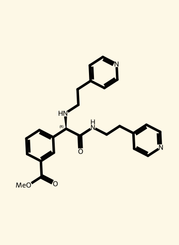 COC(=O)c1cccc([C@@H](NCCc2ccncc2)C(=O)NCCc2ccncc2)c1